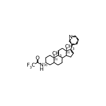 C[C@]12CC[C@@H](NC(=O)C(F)(F)F)CC1CCC1C2CC[C@]2(C)C(c3cccnc3)=CCC12